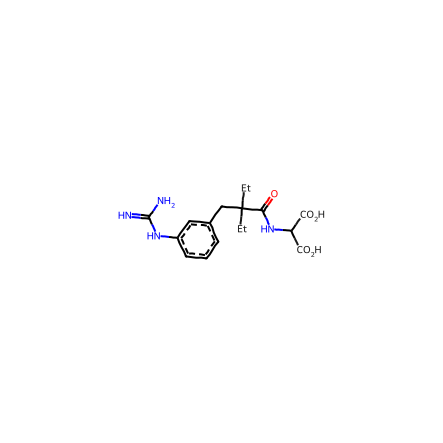 CCC(CC)(Cc1cccc(NC(=N)N)c1)C(=O)NC(C(=O)O)C(=O)O